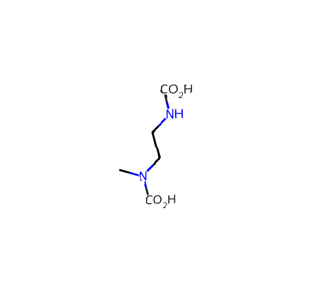 CN(CCNC(=O)O)C(=O)O